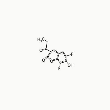 CCC(=O)c1cc2cc(F)c(O)c(F)c2oc1=O